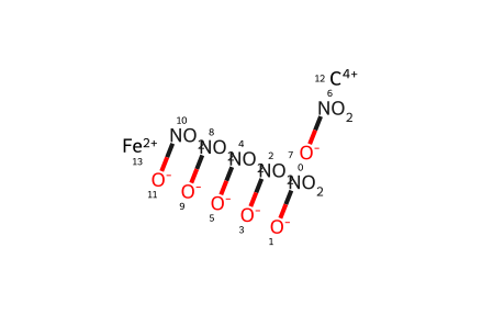 O=[N+]([O-])[O-].O=[N+]([O-])[O-].O=[N+]([O-])[O-].O=[N+]([O-])[O-].O=[N+]([O-])[O-].O=[N+]([O-])[O-].[C+4].[Fe+2]